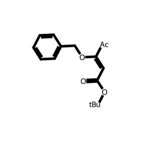 CC(=O)/C(=C/C(=O)OC(C)(C)C)OCc1ccccc1